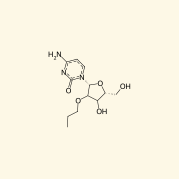 CCCOC1C(O)[C@@H](CO)O[C@H]1n1ccc(N)nc1=O